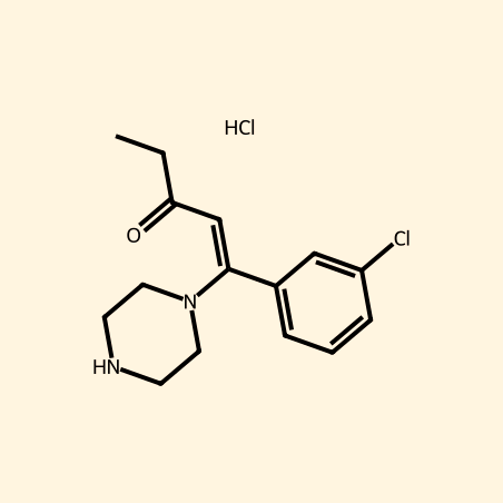 CCC(=O)C=C(c1cccc(Cl)c1)N1CCNCC1.Cl